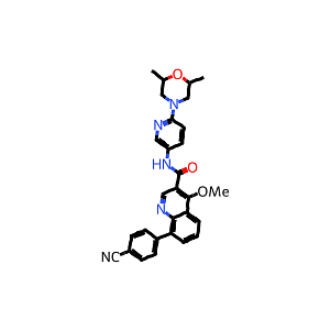 COc1c(C(=O)Nc2ccc(N3CC(C)OC(C)C3)nc2)cnc2c(-c3ccc(C#N)cc3)cccc12